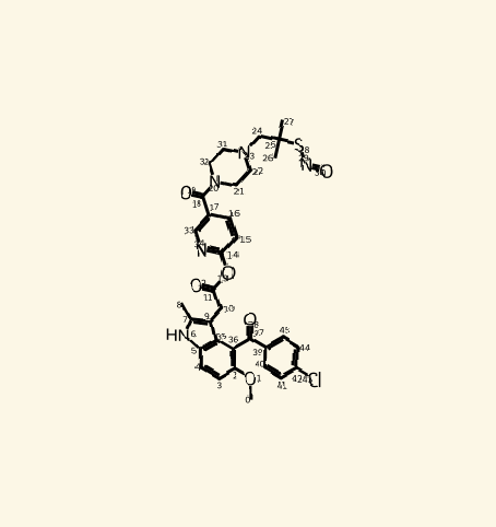 COc1ccc2[nH]c(C)c(CC(=O)Oc3ccc(C(=O)N4CCN(CC(C)(C)SN=O)CC4)cn3)c2c1C(=O)c1ccc(Cl)cc1